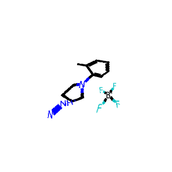 Cc1ccccc1N1CCCC1.F[B-](F)(F)F.N#[NH+]